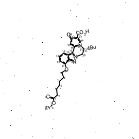 CC(C)OC(=O)CCCCCCOc1cccc2c3n(nc12)C[C@@H](C(C)(C)C)n1cc(C(=O)O)c(=O)cc1-3